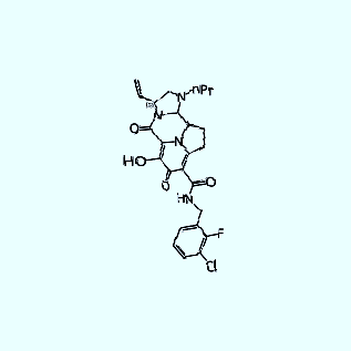 C=C[C@H]1CN(CCC)C2C3CCc4c(C(=O)NCc5cccc(Cl)c5F)c(=O)c(O)c(n43)C(=O)N21